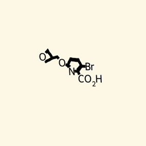 O=C(O)c1nc(OCC2COC2)ccc1Br